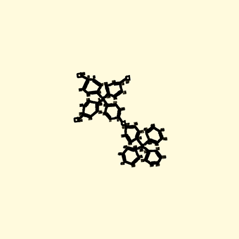 Clc1ccc([B-](c2ccc(Cl)cc2)(c2ccc(Cl)cc2)c2ccc(Cl)cc2)cc1.c1ccc([B-](c2ccccc2)(c2ccccc2)c2ccccc2)cc1